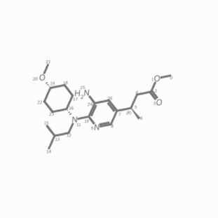 COC(=O)C[C@@H](C)c1cnc(N(CC(C)C)[C@H]2CC[C@@H](OC)CC2)c(N)c1